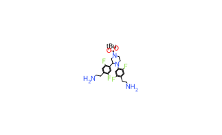 CC(C)(C)OC(=O)N1CCN(c2cc(F)c(CCN)cc2F)C(c2cc(F)c(CCN)cc2F)C1